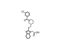 O=C(O)Cn1c(SCC2CCCN(C(=O)c3cccc(Cl)c3)C2)nc2ccccc21